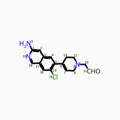 Nc1cc2cc(C3=CCN(CC=O)CC3)c(Cl)cc2cn1